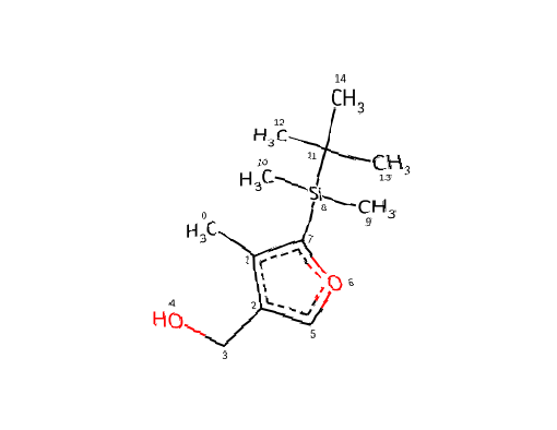 Cc1c(CO)coc1[Si](C)(C)C(C)(C)C